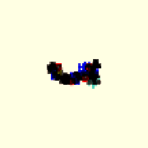 O=C(Nc1cnc(Oc2ccc(-c3cnc(N4CCCC4=O)s3)cc2)nc1)Nc1cc(C(F)(F)F)cnc1C(=O)C1CC1